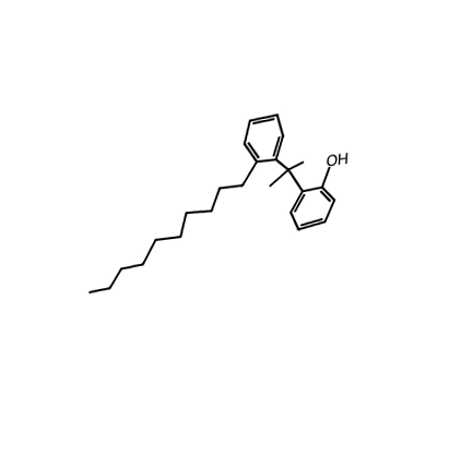 CCCCCCCCCCc1ccccc1C(C)(C)c1ccccc1O